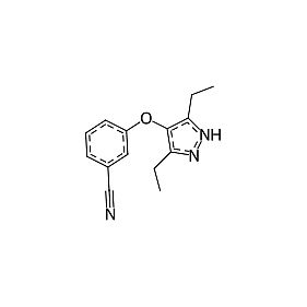 CCc1n[nH]c(CC)c1Oc1cccc(C#N)c1